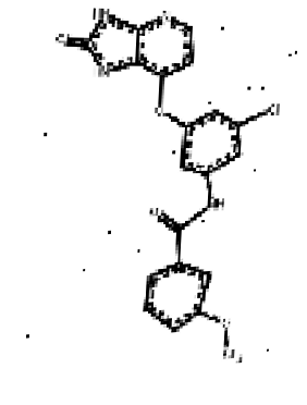 O=C(Nc1cc(Cl)cc(Oc2ccnc3[nH]c(=O)[nH]c23)c1)c1cccc(OC(F)(F)F)c1